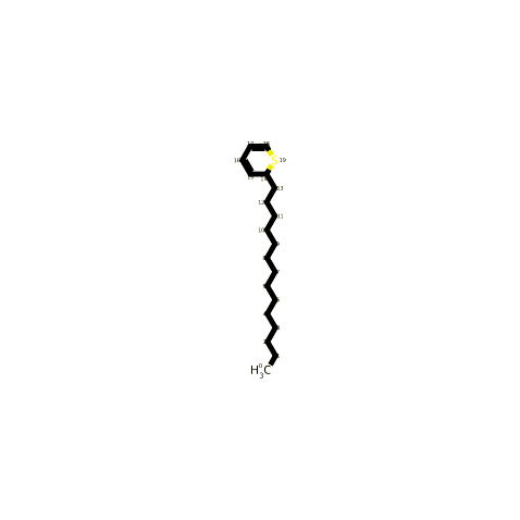 CCCCCCCCCCCCCCC1C=CC=CS1